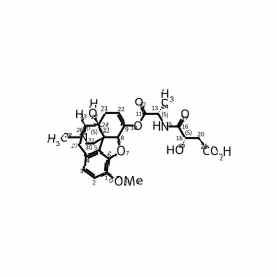 COc1ccc2c3c1OC1C(OC(=O)[C@H](C)NC(=O)[C@@H](O)CC(=O)O)=CC[C@@]4(O)[C@@H](C2)N(C)CCC314